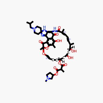 C/C1=C/C=C/C(C)[C@H](O)CC(O)C[C@H](OC(=O)C(C)C(=O)OC2CCN(C)C2)CC/C=C/OC2(C)Oc3c(C)c(O)c4c(c3C2=O)C2=NC3(CCN(CC(C)C)CC3)NC2=C(NC1=O)C4=O